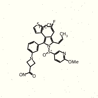 C/C=C\c1c(/C=C(\C)F)c(-c2ccsc2C#N)c(-c2cccc(N3CC(C(=O)N=O)C3)c2)n1[S+]([O-])c1ccc(OC)nc1